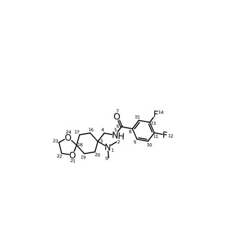 CN(C)C1(CNC(=O)c2ccc(F)c(F)c2)CCC2(CC1)OCCO2